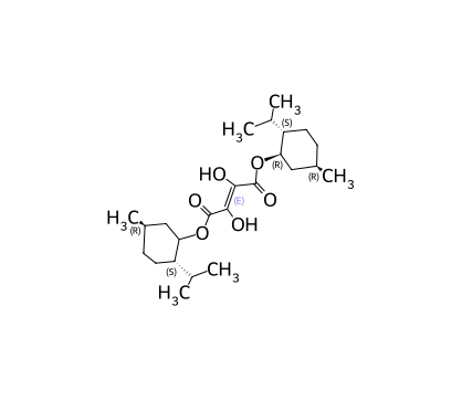 CC(C)[C@@H]1CC[C@@H](C)CC1OC(=O)/C(O)=C(\O)C(=O)O[C@@H]1C[C@H](C)CC[C@H]1C(C)C